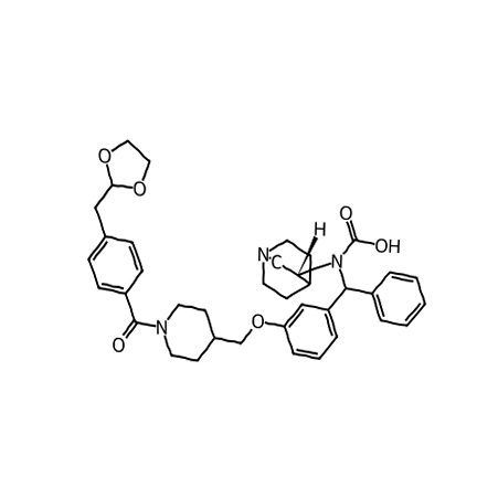 O=C(c1ccc(CC2OCCO2)cc1)N1CCC(COc2cccc(C(c3ccccc3)N(C(=O)O)[C@H]3CN4CCC3CC4)c2)CC1